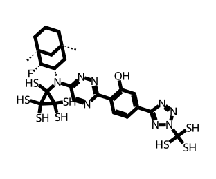 C[C@@]12CCC[C@@](C)(C1)[C@@H](F)[C@@H](N(c1cnc(-c3ccc(-c4nnn(C(S)(S)S)n4)cc3O)nn1)C1(S)C(S)(S)C1(S)S)C2